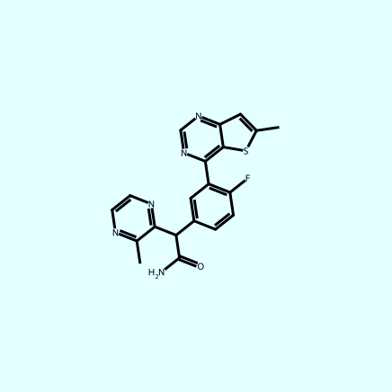 Cc1cc2ncnc(-c3cc(C(C(N)=O)c4nccnc4C)ccc3F)c2s1